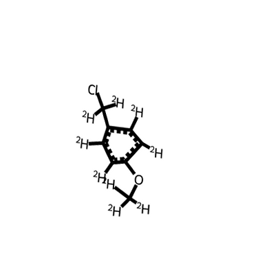 [2H]c1c([2H])c(C([2H])([2H])Cl)c([2H])c([2H])c1OC([2H])([2H])[2H]